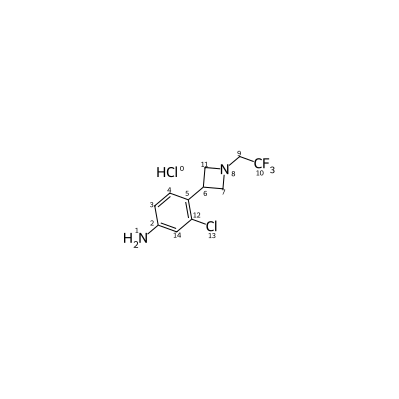 Cl.Nc1ccc(C2CN(CC(F)(F)F)C2)c(Cl)c1